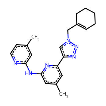 Cc1cc(Nc2cc(C(F)(F)F)ccn2)nc(-c2cn(CC3=CCCCC3)nn2)c1